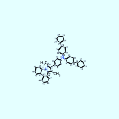 Cc1c(-c2ccc(N(c3ccc(-c4ccccc4)cc3)c3ccc(-c4ccccc4)cc3)cc2)c(C)n2c3ccccc3c3ccccc3c12